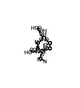 N#Cc1cncc(COc2nc(OCc3cccc(-c4cccc(COc5ccc(CNCC(O)CC(=O)O)c(OCc6cncc(C#N)c6)n5)c4Cl)c3Cl)ccc2CNCC(O)CC(=O)O)c1